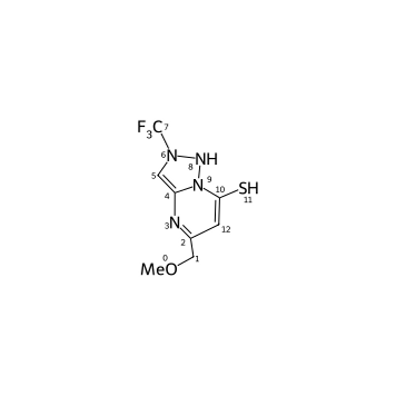 COCC1=NC2=CN(C(F)(F)F)NN2C(S)=C1